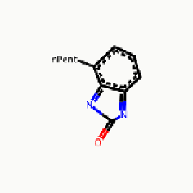 [CH2]CCCCc1cccc2c1=NC(=O)N=2